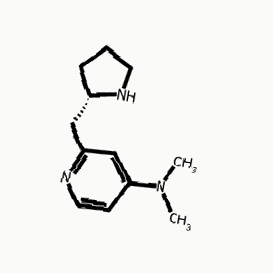 CN(C)c1ccnc(C[C@@H]2CCCN2)c1